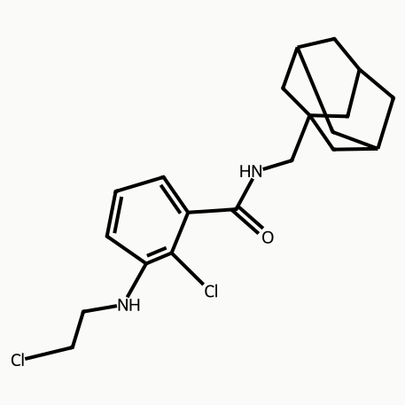 O=C(NCC12CC3CC(CC(C3)C1)C2)c1cccc(NCCCl)c1Cl